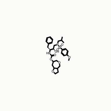 COc1ccc(S(=O)(=O)N(CC(C)C)C[C@@H](O)[C@H](Cc2ccccc2)NC(=O)OC2COCC3CCOC3C2)cc1